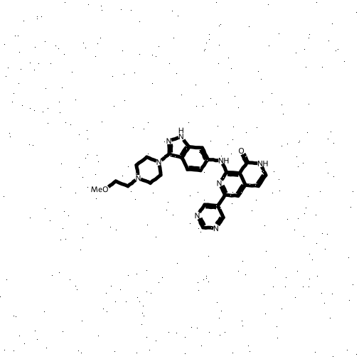 COCCN1CCN(c2n[nH]c3cc(Nc4nc(-c5cncnc5)cc5cc[nH]c(=O)c45)ccc23)CC1